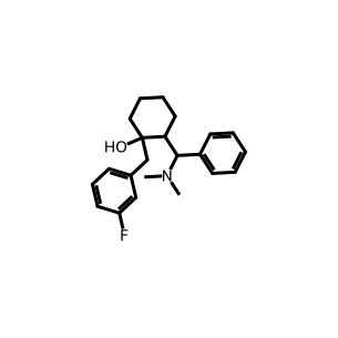 CN(C)C(c1ccccc1)C1CCCCC1(O)Cc1cccc(F)c1